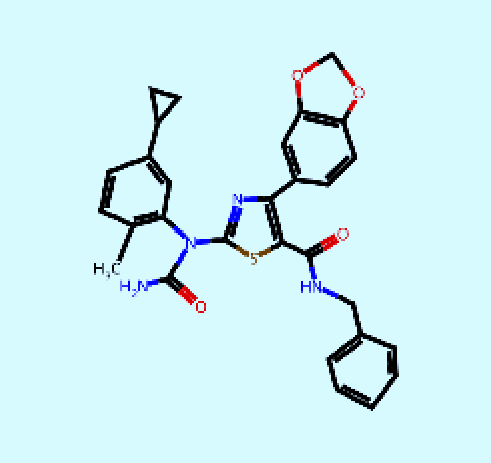 Cc1ccc(C2CC2)cc1N(C(N)=O)c1nc(-c2ccc3c(c2)OCO3)c(C(=O)NCc2ccccc2)s1